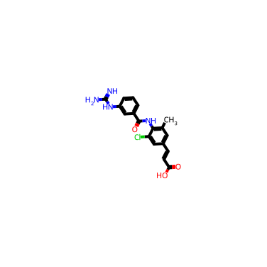 Cc1cc(/C=C/C(=O)O)cc(Cl)c1NC(=O)c1cccc(NC(=N)N)c1